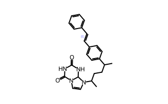 CC(CCC(C)N1C=CN2C(=O)NC(=O)NC21)c1ccc(/C=C/c2ccccc2)cc1